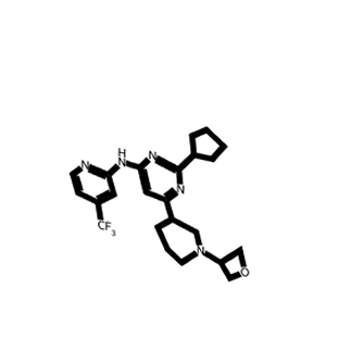 FC(F)(F)c1ccnc(Nc2cc(C3CCCN(C4COC4)C3)nc(C3CCCC3)n2)c1